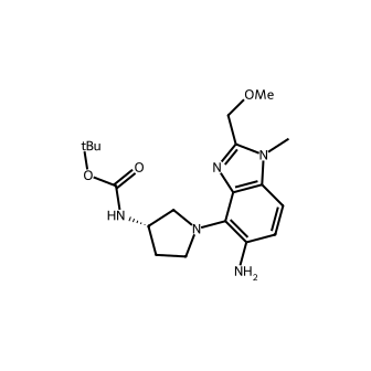 COCc1nc2c(N3CC[C@H](NC(=O)OC(C)(C)C)C3)c(N)ccc2n1C